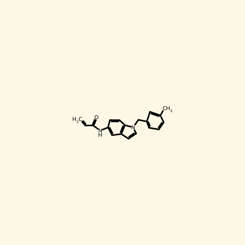 C=CC(=O)Nc1ccc2c(ccn2Cc2cccc(C)c2)c1